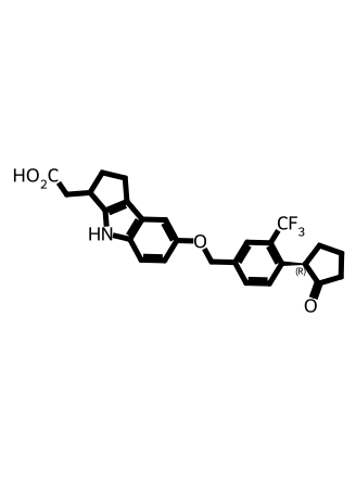 O=C(O)CC1CCc2c1[nH]c1ccc(OCc3ccc([C@H]4CCCC4=O)c(C(F)(F)F)c3)cc21